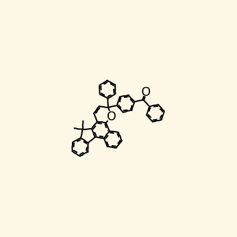 CC1(C)c2ccccc2-c2c1c1c(c3ccccc23)OC(c2ccccc2)(c2ccc(C(=O)c3ccccc3)cc2)C=C1